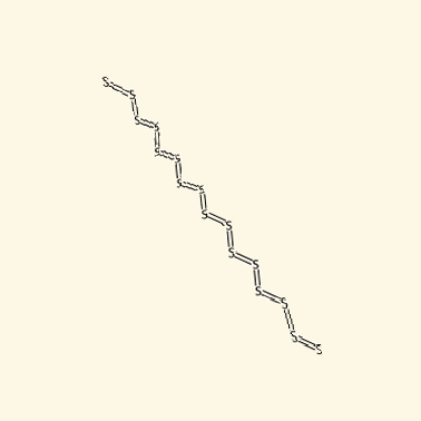 S=S=S=S=S=S=S=S=S=S=S=S=S=S=S=S